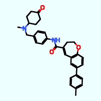 Cc1ccc(-c2ccc3c(c2)C=C(C(=O)Nc2ccc(CN(C)C4CCC(=O)CC4)cc2)CCO3)cc1